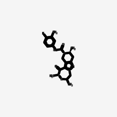 Cc1cc(NC(=O)N2Cc3c(nn4c3C(=O)N(C)OC(C)C4)C[C@H]2C)ccc1F